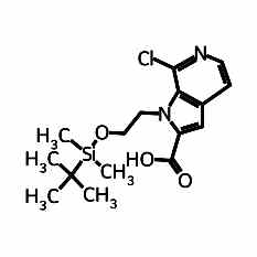 CC(C)(C)[Si](C)(C)OCCn1c(C(=O)O)cc2ccnc(Cl)c21